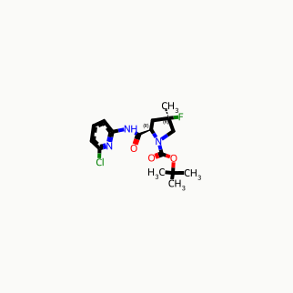 CC(C)(C)OC(=O)N1C[C@](C)(F)C[C@@H]1C(=O)Nc1cccc(Cl)n1